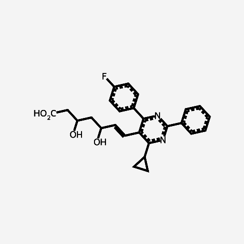 O=C(O)CC(O)CC(O)/C=C/c1c(-c2ccc(F)cc2)nc(-c2ccccc2)nc1C1CC1